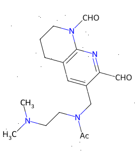 CC(=O)N(CCN(C)C)Cc1cc2c(nc1C=O)N(C=O)CCC2